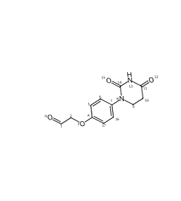 O=CCOc1ccc(N2CCC(=O)NC2=O)cc1